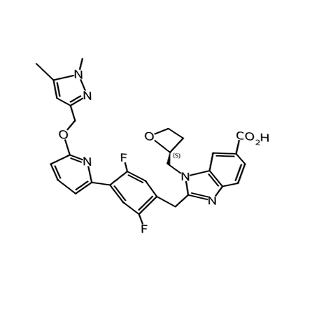 Cc1cc(COc2cccc(-c3cc(F)c(Cc4nc5ccc(C(=O)O)cc5n4C[C@@H]4CCO4)cc3F)n2)nn1C